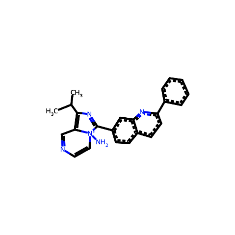 CC(C)C1=C2C=NC=C[N+]2(N)C(c2ccc3ccc(-c4ccccc4)nc3c2)=N1